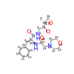 C[C@]1(C(=O)CNC(=O)[C@H](Cc2ccccc2)NC(=O)CN2CCOCC2)CO1